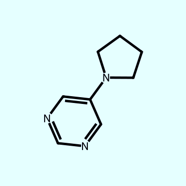 c1ncc(N2CCCC2)cn1